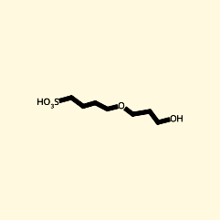 O=S(=O)(O)CCCCOCCCO